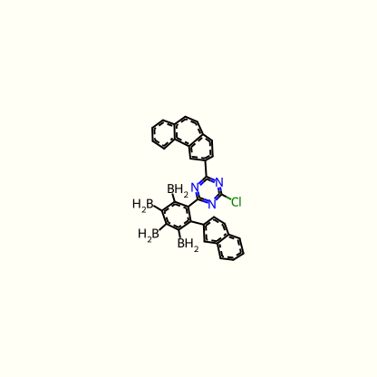 Bc1c(B)c(B)c(-c2nc(Cl)nc(-c3ccc4ccc5ccccc5c4c3)n2)c(-c2ccc3ccccc3c2)c1B